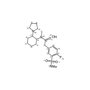 CNS(=O)(=O)c1cc(CC(=O)N(C)C2CCCCC2N2CCCC2)ccc1F.Cl